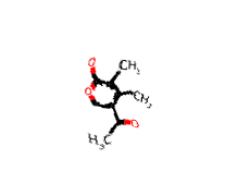 CC(=O)c1coc(=O)c(C)c1C